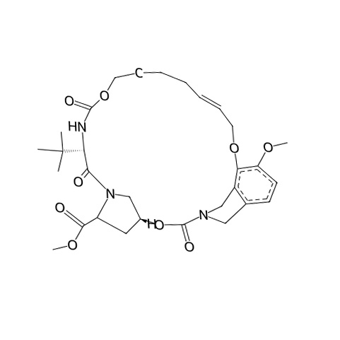 COC(=O)C1C[C@@H]2CN1C(=O)[C@H](C(C)(C)C)NC(=O)OCCCC/C=C/COc1c(OC)ccc3c1CN(C3)C(=O)O2